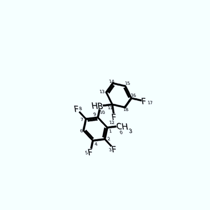 Cc1c(F)c(F)cc(F)c1BC1(F)C=CC=C(F)C1